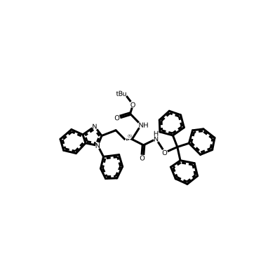 CC(C)(C)OC(=O)N[C@@H](CCc1nc2ccccc2n1-c1ccccc1)C(=O)NOC(c1ccccc1)(c1ccccc1)c1ccccc1